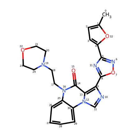 Cc1ccc(-c2noc(-c3ncn4c3c(=O)n(CCN3CCOCC3)c3ccccc34)n2)o1